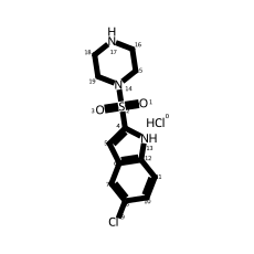 Cl.O=S(=O)(c1cc2cc(Cl)ccc2[nH]1)N1CCNCC1